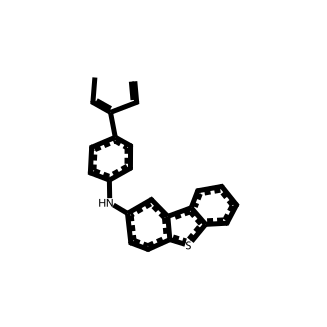 C=C/C(=C\C)c1ccc(Nc2ccc3sc4ccccc4c3c2)cc1